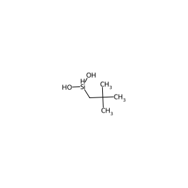 CC(C)(C)C[SiH](O)O